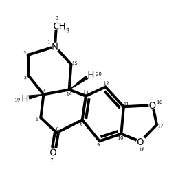 CN1CC[C@H]2CC(=O)c3cc4c(cc3[C@H]2C1)OCO4